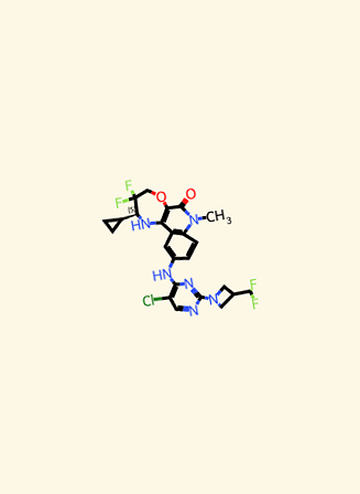 Cn1c(=O)c2c(c3cc(Nc4nc(N5CC(C(F)F)C5)ncc4Cl)ccc31)N[C@@H](C1CC1)C(F)(F)CO2